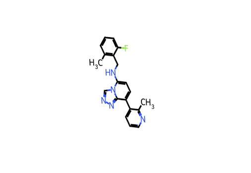 Cc1cccc(F)c1CNc1ccc(-c2cccnc2C)c2nncn12